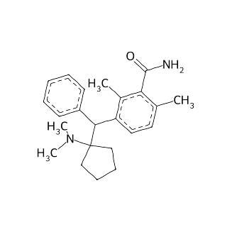 Cc1ccc(C(c2ccccc2)C2(N(C)C)CCCC2)c(C)c1C(N)=O